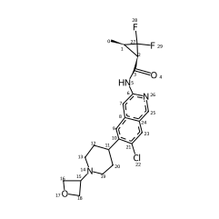 C[C@@H]1[C@H](C(=O)Nc2cc3cc(C4CCN(C5COC5)CC4)c(Cl)cc3cn2)C1(F)F